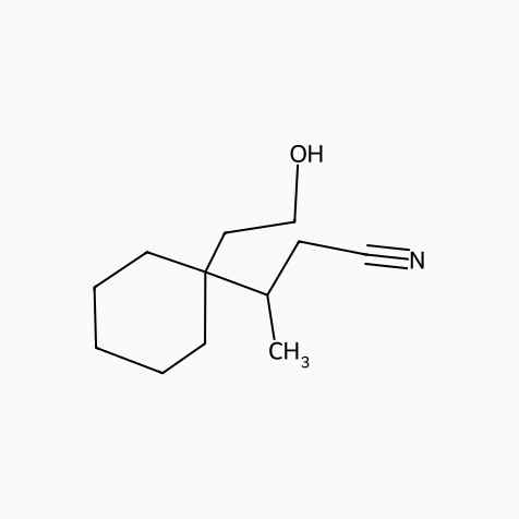 CC(CC#N)C1(CCO)CCCCC1